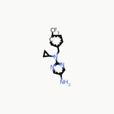 Nc1cnc(N(Cc2ccc(C(F)(F)F)cc2)C2CC2)nc1